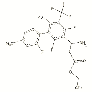 CCOC(=O)CC(N)c1c(F)c(-c2ccc(C)cc2F)c(C)c(C(F)(F)F)c1F